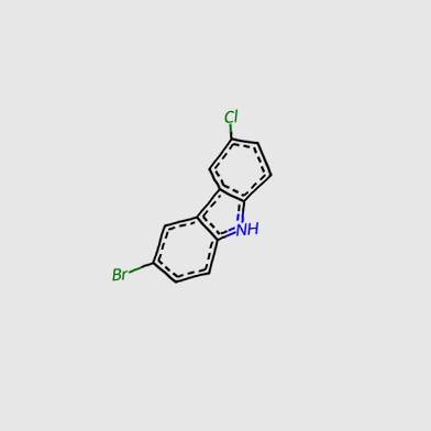 Clc1ccc2[nH]c3ccc(Br)cc3c2c1